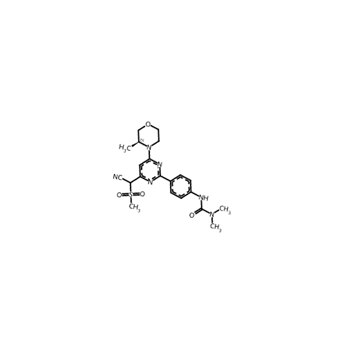 C[C@H]1COCCN1c1cc(C(C#N)S(C)(=O)=O)nc(-c2ccc(NC(=O)N(C)C)cc2)n1